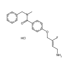 CN(Cc1ccccc1)C(=O)c1ccc(OCC(F)=CCN)cc1.Cl